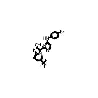 Cc1nc2ccc(C(F)(F)F)cn2c1-c1nccc(Nc2ccc(Br)cc2)n1